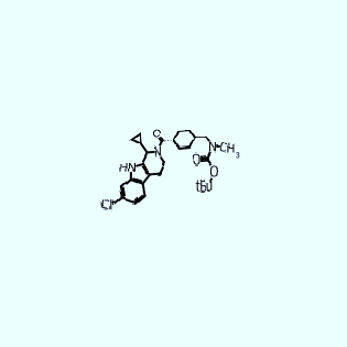 CN(C[C@H]1CC[C@H](C(=O)N2CCc3c([nH]c4cc(Cl)ccc34)C2C2CC2)CC1)C(=O)OC(C)(C)C